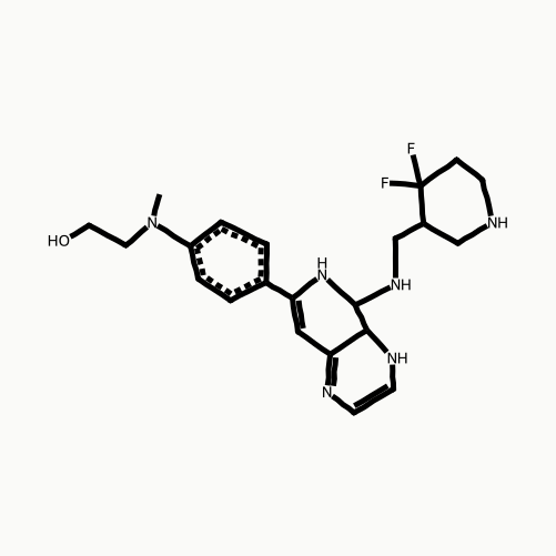 CN(CCO)c1ccc(C2=CC3=NC=CNC3C(NCC3CNCCC3(F)F)N2)cc1